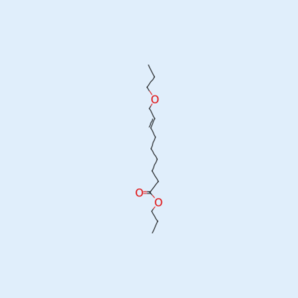 CCCOC/C=C/CCCCCC(=O)OCCC